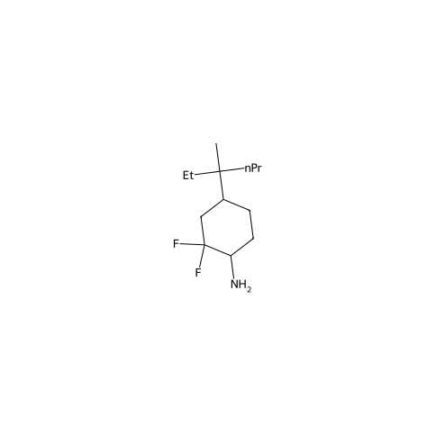 CCCC(C)(CC)C1CCC(N)C(F)(F)C1